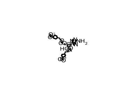 CC(OCCc1ccc([N+](=O)[O-])cc1)O[C@@H]1[C@H](O)[C@@H](COC(=O)OCCc2ccc([N+](=O)[O-])cc2)O[C@H]1n1cnc2c(N)ncnc21